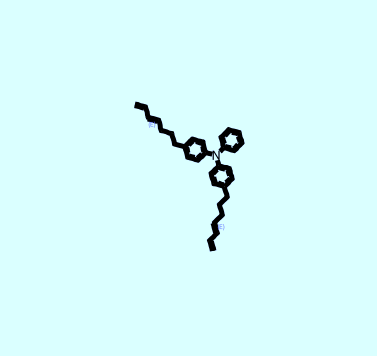 C=C/C=C/CCCc1ccc(N(c2ccccc2)c2ccc(CCC/C=C/C=C)cc2)cc1